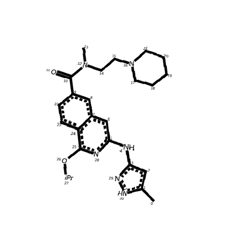 Cc1cc(Nc2cc3cc(C(=O)N(C)CCN4CCCCC4)ccc3c(OC(C)C)n2)n[nH]1